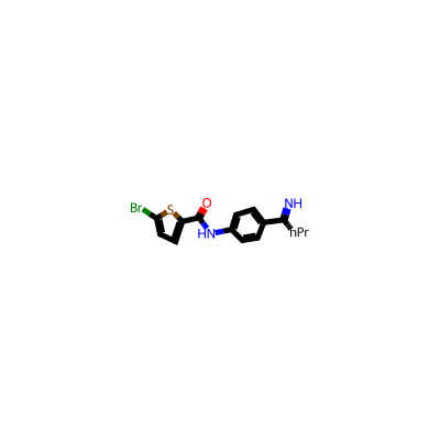 C[CH]CC(=N)c1ccc(NC(=O)c2ccc(Br)s2)cc1